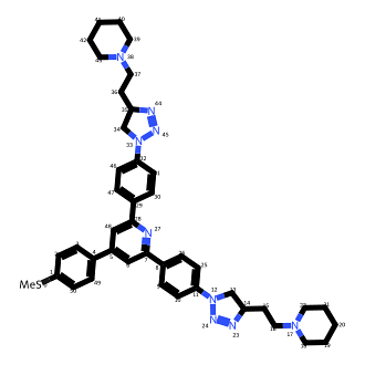 CSc1ccc(-c2cc(-c3ccc(N4CC(CCN5CCCCC5)N=N4)cc3)nc(-c3ccc(N4CC(CCN5CCCCC5)N=N4)cc3)c2)cc1